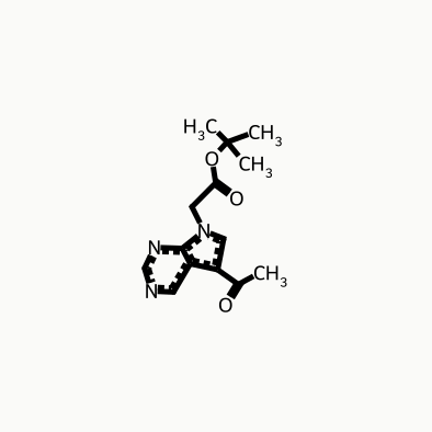 CC(=O)c1cn(CC(=O)OC(C)(C)C)c2ncncc12